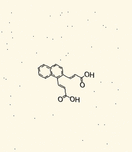 O=C(O)/C=C/c1ccc2ccccc2c1/C=C/C(=O)O